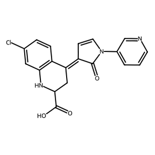 O=C(O)C1CC(=C2C=CN(c3cccnc3)C2=O)c2ccc(Cl)cc2N1